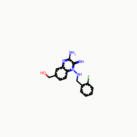 N=c1c(N)nc2cc(CO)ccc2n1NCc1ccccc1F